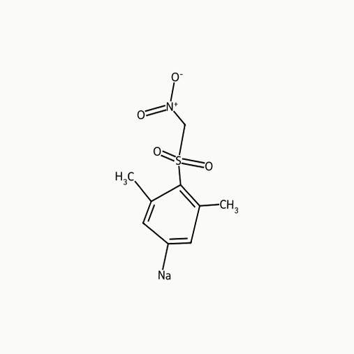 Cc1c[c]([Na])cc(C)c1S(=O)(=O)C[N+](=O)[O-]